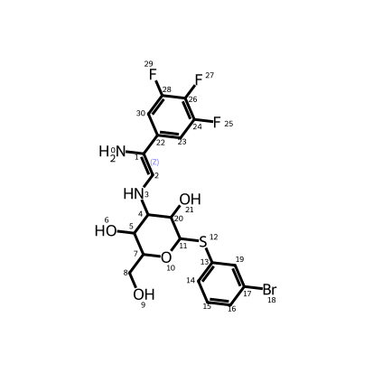 N/C(=C\NC1C(O)C(CO)OC(Sc2cccc(Br)c2)C1O)c1cc(F)c(F)c(F)c1